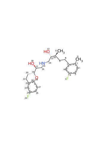 Cc1ccc(F)cc1CC[C@H](C)[C@@H](O)CNC[C@H](O)[C@H]1CCc2cc(F)ccc2O1